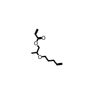 C=CCCCOC(C)COC(=O)C=C